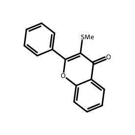 CSc1c(-c2ccccc2)oc2ccccc2c1=O